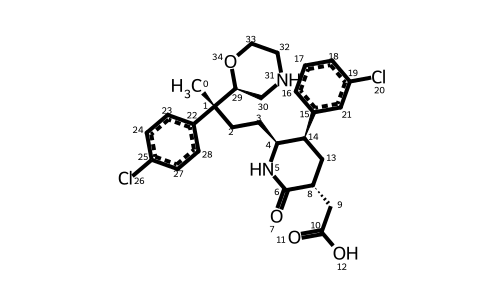 C[C@@](CC[C@@H]1NC(=O)[C@@H](CC(=O)O)C[C@@H]1c1cccc(Cl)c1)(c1ccc(Cl)cc1)[C@@H]1CNCCO1